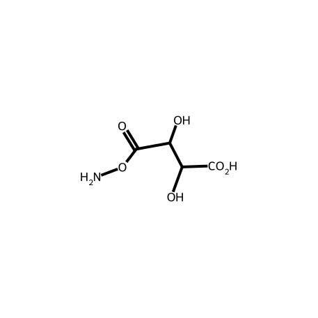 NOC(=O)C(O)C(O)C(=O)O